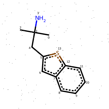 CC(C)(N)Cc1cc2ccccc2s1